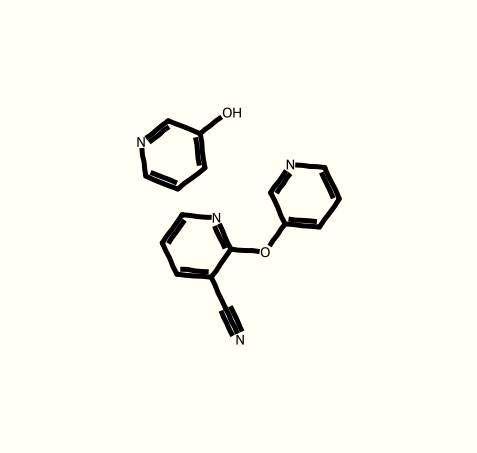 N#Cc1cccnc1Oc1cccnc1.Oc1cccnc1